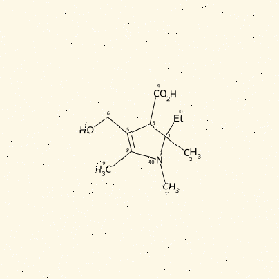 CCC1(C)C(C(=O)O)C(CO)=C(C)N1C